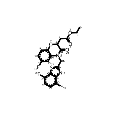 CCOC(=O)CC1Oc2ccc(F)cc2N(Cc2nc3c(F)ccc(F)c3s2)C1=O